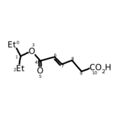 CCC(CC)OC(=O)C=CCCC(=O)O